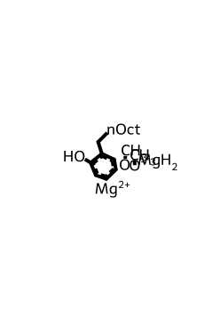 CCCCCCCCCc1ccccc1O.C[O-].C[O-].[Mg+2].[MgH2]